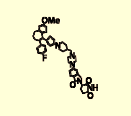 COc1ccc2c(c1)CCCC(c1ccc(F)cc1)=C2c1ccc(N2CCC(CN3CCN(c4ccc5c(c4)CN(C4CCC(=O)NC4=O)C5=O)CC3)CC2)cc1